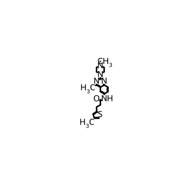 Cc1csc(CCC(=O)Nc2ccc3nc(N4CCN(C)CC4)nc(C)c3c2)c1